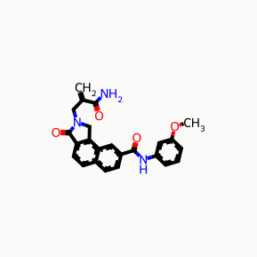 C=C(CN1Cc2c(ccc3ccc(C(=O)Nc4cccc(OC)c4)cc23)C1=O)C(N)=O